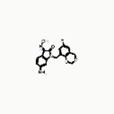 Nc1ccc2c(c1)N(Cc1cc(F)cc3c1OCOC3)C(=O)/C2=N\O